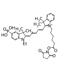 CCN1/C(=C/C=C/C=C/C2=[N+](CCCCCC(=O)ON3C(=O)CCC3=O)c3ccccc3C2(C)C)C(C)(C)c2cc(P(=O)(O)O)ccc21